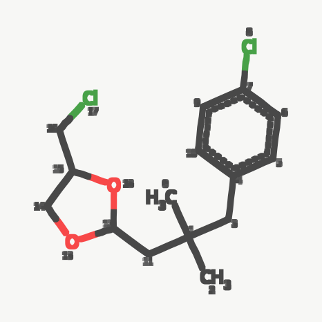 CC(C)(Cc1ccc(Cl)cc1)CC1OCC(CCl)O1